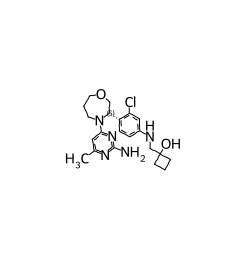 Cc1cc(N2CCCOC[C@@H]2c2ccc(NCC3(O)CCC3)cc2Cl)nc(N)n1